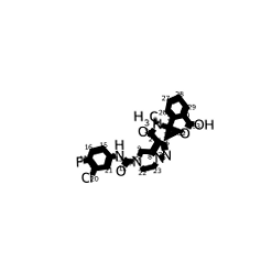 CN(C(=O)c1cnn2c1CN(C(=O)Nc1ccc(F)c(Cl)c1)CC2)C1(c2ccccc2C(=O)O)CC1